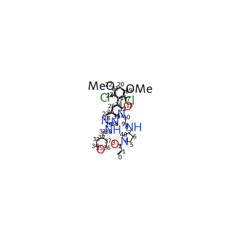 C=CC(=O)N1CCC(NCCn2c(=O)c(-c3c(Cl)c(OC)cc(OC)c3Cl)cc3cnc(NCC4CCOCC4)nc32)C1